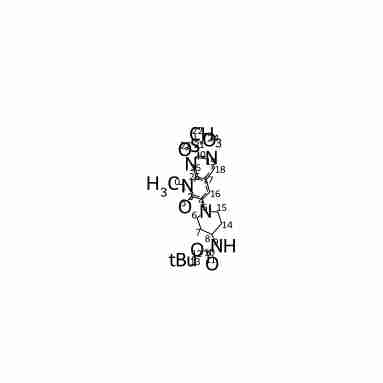 Cn1c(=O)c(N2CCC(NC(=O)OC(C)(C)C)CC2)cc2cnc(S(C)(=O)=O)nc21